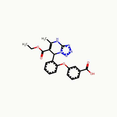 CCOC(=O)C1=C(C)Nc2nnnn2C1c1ccccc1Oc1cccc(C(=O)O)c1